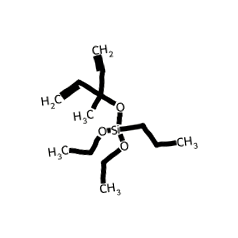 C=CC(C)(C=C)O[Si](CCC)(OCC)OCC